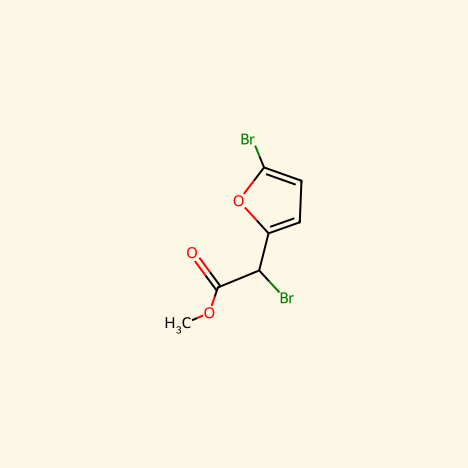 COC(=O)C(Br)c1ccc(Br)o1